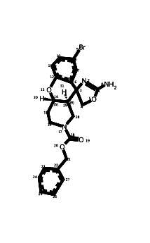 NC1=NC2(CO1)c1cc(Br)ccc1O[C@H]1CCN(C(=O)OCc3ccccc3)C[C@@H]12